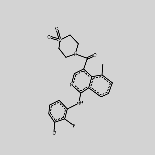 Cc1cccc2c(Nc3cccc(Cl)c3F)ncc(C(=O)N3CCS(=O)(=O)CC3)c12